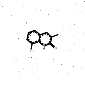 Cc1cc2cccc(F)c2[nH]c1=O